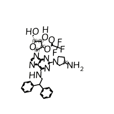 N[C@@H]1CCN(c2nc(NCC(c3ccccc3)c3ccccc3)c3ncn([C@@H]4O[C@H](CO)[C@@H](O)[C@H]4OC(=O)C(F)(F)F)c3n2)C1